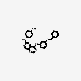 O[C@H]1CC[C@H](Nc2ncc3ncnc(Nc4cccc(OCc5ccccc5)c4)c3n2)CC1